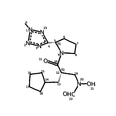 Cn1nnc([C@@H]2CCCN2C(=O)[C@@H](CC2CCCC2)CN(O)C=O)n1